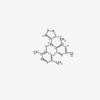 Cc1cnc(Cl)c(CN(C2=NCCS2)c2ccc(Cl)cc2C)c1